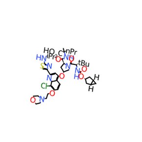 CCC[C@@](C)(NC(=O)[C@@H]1C[C@@H](Oc2cc(-c3csc(NC(C)C)n3)nc3c(Cl)c(OCCN4CCOCC4)ccc23)CN1C(=O)[C@@H](NC(=O)O[C@@H]1C[C@@H]2C[C@@H]2C1)C(C)(C)C)C(=O)O